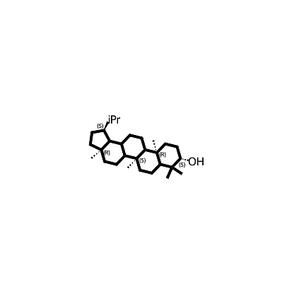 CC(C)[C@@H]1CC[C@]2(C)CCC3C(CCC4[C@@]3(C)CCC3C(C)(C)[C@@H](O)CC[C@@]34C)C12